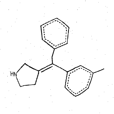 Cc1cccc(C(=C2CCNC2)c2ccccc2)c1